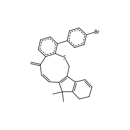 C=C1/C=C\C2=C(CSc3c1cccc3-c1ccc(Br)cc1)C1=C(CCC=C1)C2(C)C